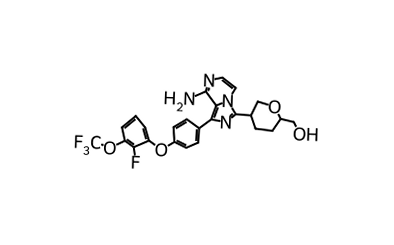 Nc1nccn2c(C3CCC(CO)OC3)nc(-c3ccc(Oc4cccc(OC(F)(F)F)c4F)cc3)c12